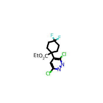 CCOC(=O)C1(c2cc(Cl)nnc2Cl)CCC(F)(F)CC1